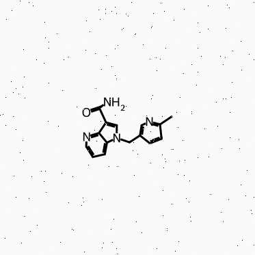 Cc1ccc(Cn2cc(C(N)=O)c3ncccc32)cn1